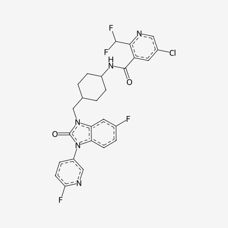 O=C(NC1CCC(Cn2c(=O)n(-c3ccc(F)nc3)c3ccc(F)cc32)CC1)c1cc(Cl)cnc1C(F)F